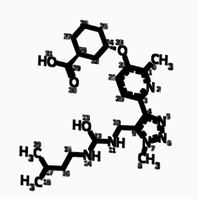 Cc1nc(-c2nnn(C)c2CNC(O)NCCC(C)C)ccc1O[C@H]1CCC[C@H](C(=O)O)C1